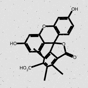 Cc1cc(O)cc2c1C1(OC(=O)c3c(C)c(C)c(C(=O)O)c(C)c31)c1ccc(O)cc1O2